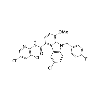 COc1ccc(C(=O)Nc2ncc(Cl)cc2Cl)c2c3cc(Cl)ccc3n(Cc3ccc(F)cc3)c12